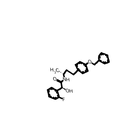 C[C@H](CCc1ccc(OCc2ccccc2)cc1)NC(=O)[C@@H](O)c1ccccc1F